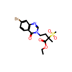 CCOC(=O)C(C)(CCn1cnc2cc(Br)ccc2c1=O)S(C)(=O)=O